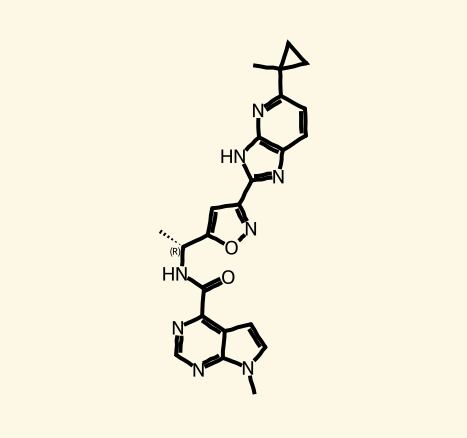 C[C@@H](NC(=O)c1ncnc2c1ccn2C)c1cc(-c2nc3ccc(C4(C)CC4)nc3[nH]2)no1